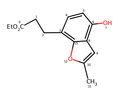 CCOC(=O)CCc1ccc(O)c2cc(C)oc12